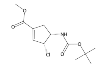 COC(=O)C1=C[C@@H](Cl)[C@@H](NC(=O)OC(C)(C)C)C1